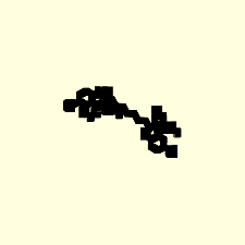 CC1(C)C(/C=C/C=C/C=C/C=C2/Nc3ccc(Cl)cc3C2(C)C)=Nc2ccc(Cl)cc21